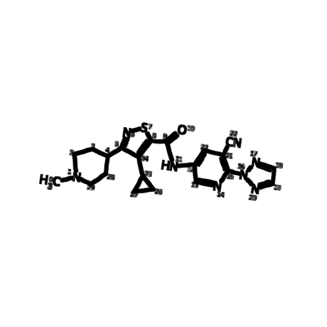 CN1CCC(c2nsc(C(=O)Nc3cnc(-n4nccn4)c(C#N)c3)c2C2CC2)CC1